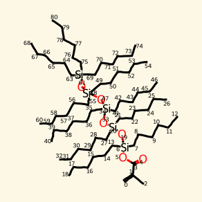 C=C(C)C(=O)O[Si](CCCCCC)(CCCCCC)O[Si](CCCCCC)(CCCCCC)O[Si](CCCCCC)(CCCCCC)O[Si](CCCCCC)(CCCCCC)O[Si](CCCCCC)(CCCCCC)CCCCCC